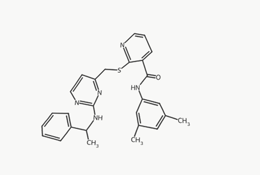 Cc1cc(C)cc(NC(=O)c2cccnc2SCc2ccnc(NC(C)c3ccccc3)n2)c1